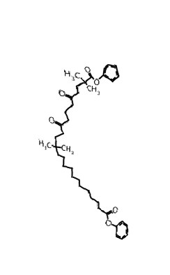 CC(C)(CCCCCCCCCCCC(=O)Oc1ccccc1)CCC(=O)CCCC(=O)CCC(C)(C)C(=O)Oc1ccccc1